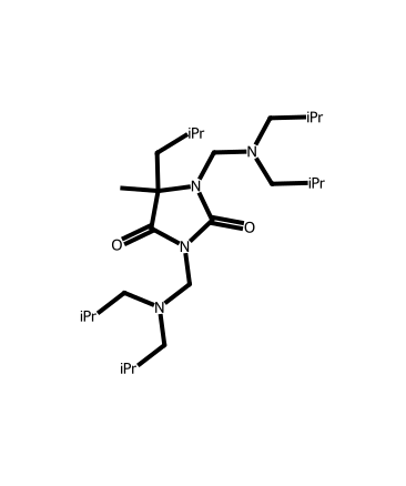 CC(C)CN(CC(C)C)CN1C(=O)N(CN(CC(C)C)CC(C)C)C(C)(CC(C)C)C1=O